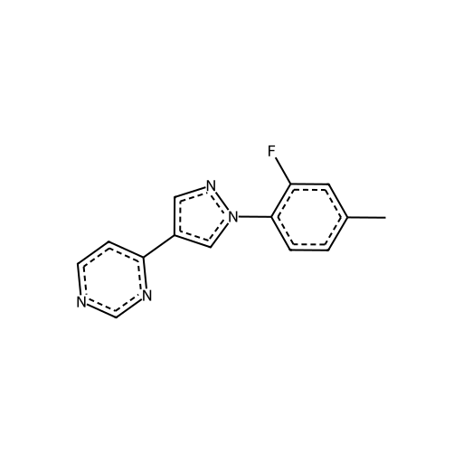 Cc1ccc(-n2cc(-c3ccncn3)cn2)c(F)c1